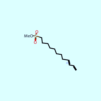 C=C/C=C/CCCCCCCCS(=O)(=O)OC